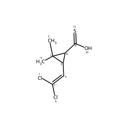 CC1(C)C(C=C(Cl)Cl)C1C(O)=S